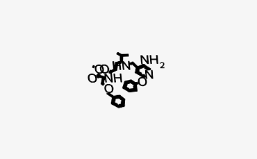 COC(=O)C(COCc1ccccc1)NC(=O)CCC(NCc1cc(Oc2ccccc2)ncc1N)C(C)C